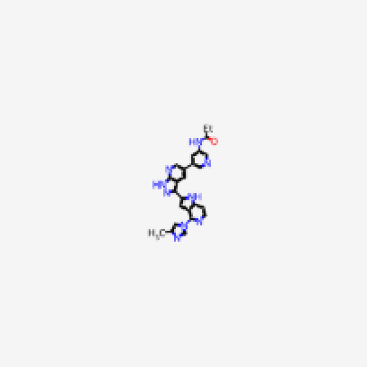 CCC(=O)Nc1cncc(-c2cnc3[nH]nc(-c4cc5c(-n6cnc(C)c6)nccc5[nH]4)c3c2)c1